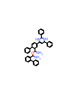 NC(OC(N)C1C=C(C2=CC(c3ccccc3)NC(c3ccccc3)N2)C=CC1c1ccccc1)c1ccccc1-c1ccccc1